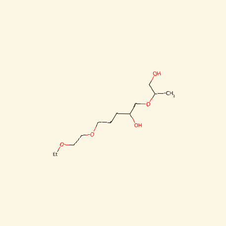 CCOCCOCCCC(O)COC(C)CO